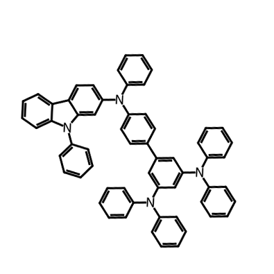 c1ccc(N(c2ccccc2)c2cc(-c3ccc(N(c4ccccc4)c4ccc5c6ccccc6n(-c6ccccc6)c5c4)cc3)cc(N(c3ccccc3)c3ccccc3)c2)cc1